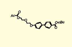 CCCCOC(=O)c1ccc(-c2ccc(OCCOCCOC(=O)C(C)=O)cc2)cc1